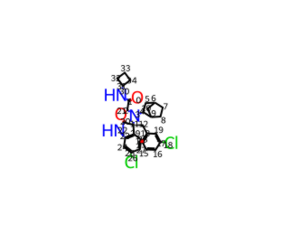 O=C(CN(C1CC2CCC1C2)[C@@]1(Cc2cccc(Cl)c2)C(=O)Nc2cc(Cl)ccc21)NC1CCC1